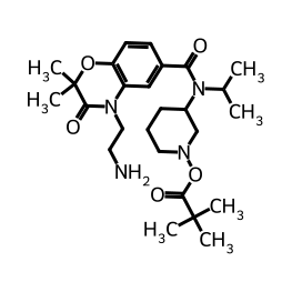 CC(C)N(C(=O)c1ccc2c(c1)N(CCN)C(=O)C(C)(C)O2)C1CCCN(OC(=O)C(C)(C)C)C1